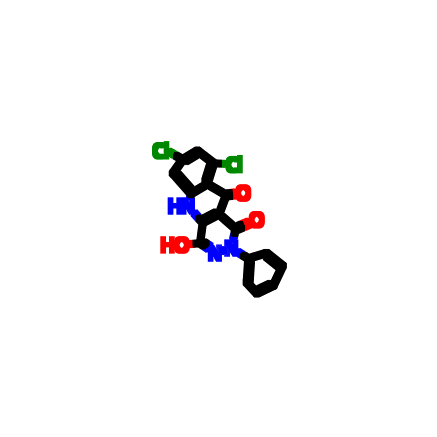 O=c1c2c(Cl)cc(Cl)cc2[nH]c2c(O)nn(-c3ccccc3)c(=O)c12